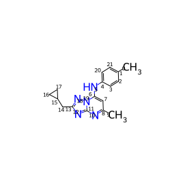 Cc1ccc(Nc2cc(C)nc3nc(CC4CC4)nn23)cc1